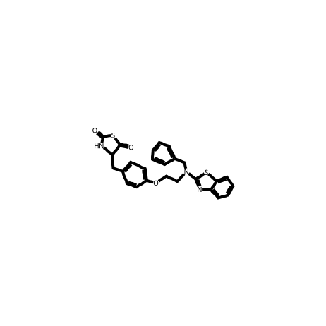 O=C1NC(Cc2ccc(OCCN(Cc3ccccc3)c3nc4ccccc4s3)cc2)C(=O)S1